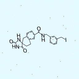 O=C1NC(=O)C2(CCc3cc(C(=O)NCc4cccc(CI)c4)ccc3C2)N1